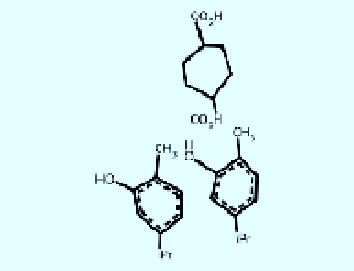 Cc1ccc(C(C)C)cc1O.Cc1ccc(C(C)C)cc1O.O=C(O)C1CCC(C(=O)O)CC1